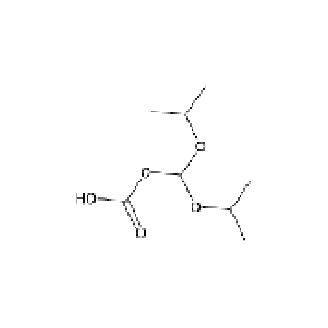 CC(C)OC(OC(=O)O)OC(C)C